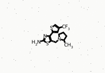 CC1CCCN1Cc1sc(N)nc1-c1cc(C(F)(F)F)cs1